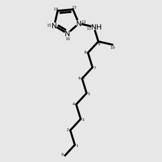 CCCCCC[CH]CCC(C)Nn1ccnn1